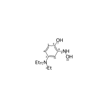 CCN(CC)c1ccc(O)c(NO)c1